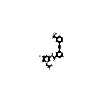 O=C(O)c1cccc(C#Cc2cc(C(=O)Nc3cc(F)c(=O)n(CC(F)F)c3)ccn2)c1